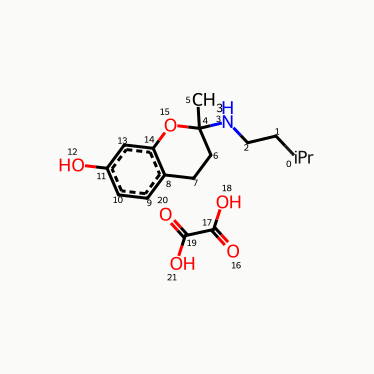 CC(C)CCNC1(C)CCc2ccc(O)cc2O1.O=C(O)C(=O)O